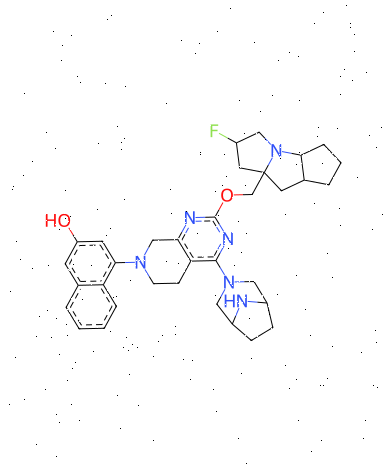 Oc1cc(N2CCc3c(nc(OCC45CC(F)CN4C4CCCC4C5)nc3N3CC4CCC(C3)N4)C2)c2ccccc2c1